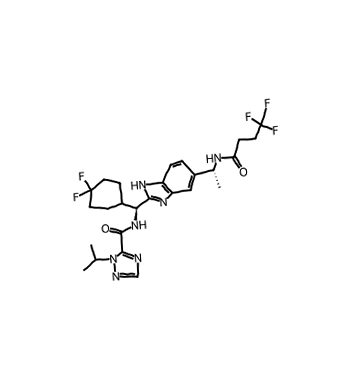 CC(C)n1ncnc1C(=O)N[C@H](c1nc2cc([C@@H](C)NC(=O)CCC(F)(F)F)ccc2[nH]1)C1CCC(F)(F)CC1